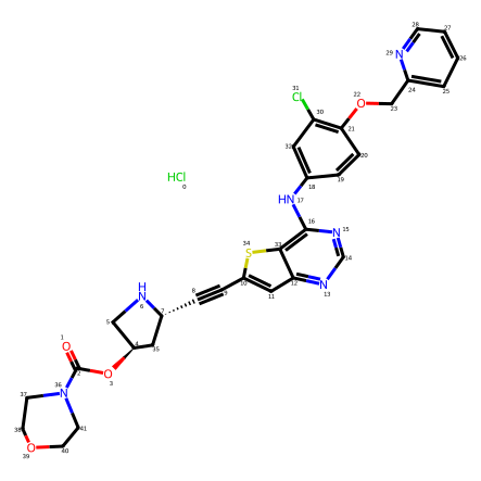 Cl.O=C(O[C@H]1CN[C@H](C#Cc2cc3ncnc(Nc4ccc(OCc5ccccn5)c(Cl)c4)c3s2)C1)N1CCOCC1